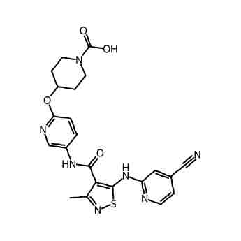 Cc1nsc(Nc2cc(C#N)ccn2)c1C(=O)Nc1ccc(OC2CCN(C(=O)O)CC2)nc1